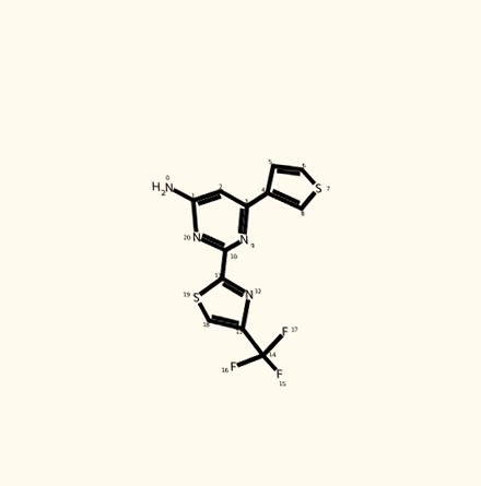 Nc1cc(-c2ccsc2)nc(-c2nc(C(F)(F)F)cs2)n1